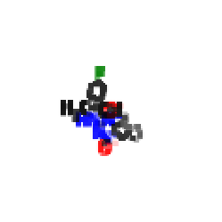 CC(C)(Nc1n[n+]([O-])c2cc3c(cc2[n+]1[O-])CCC3)c1ccc(F)cc1